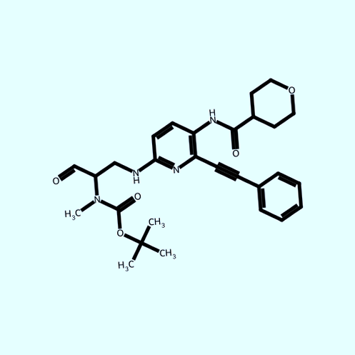 CN(C(=O)OC(C)(C)C)C(C=O)CNc1ccc(NC(=O)C2CCOCC2)c(C#Cc2ccccc2)n1